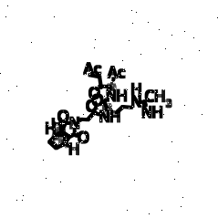 CC(=N)NCCC[C@H](NC(=O)CCN1C(=O)C2[C@@H]3C=C[C@@H](C3)[C@H]2C1=O)C(=O)N[C@@H](CC(C)=O)C(=O)CCC(C)=O